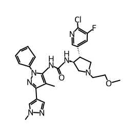 COCCN1C[C@@H](NC(=O)Nc2c(C)c(-c3cnn(C)c3)nn2-c2ccccc2)[C@H](c2cnc(Cl)c(F)c2)C1